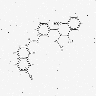 CCC(c1ccccc1C(=O)O)C(Cc1cccc(C=Cc2ccc3ccc(Cl)cc3n2)c1)SC(C)=O